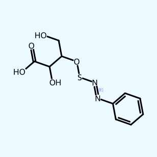 O=C(O)C(O)C(CO)OS/N=N/c1ccccc1